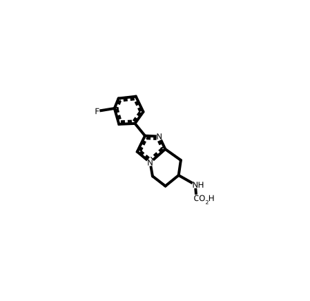 O=C(O)NC1CCn2cc(-c3cccc(F)c3)nc2C1